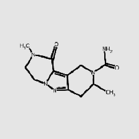 CC1Cc2nn3c(c2CN1C(N)=O)C(=O)N(C)CC3